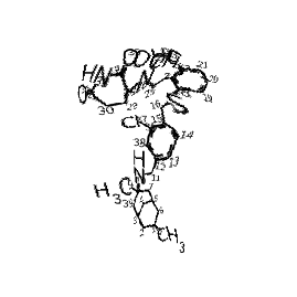 CC1CC2CC(C1)CC(C)(NCc1ccc(CSc3cccc(C=O)c3CN(C)C3CCC(=O)NC3=O)c(Cl)c1)C2